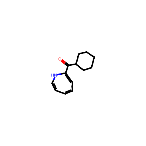 O=C([C]1CCCCC1)C1=CC=CC=CN1